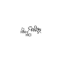 Cc1nnc(NC(=O)c2cccc(C3CC3NC3CCC3)c2)s1.Cl